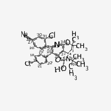 CC1(C)CC(N(C(=O)O)C(C)(C)C)c2cc(-c3ccc(Cl)cc3)c(-c3ccc(C#N)cc3Cl)nc2O1